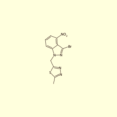 Cc1nnc(Cn2nc(Br)c3c([N+](=O)[O-])cccc32)s1